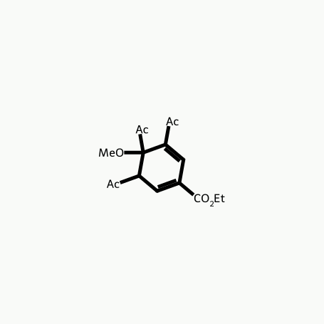 CCOC(=O)C1=CC(C(C)=O)C(OC)(C(C)=O)C(C(C)=O)=C1